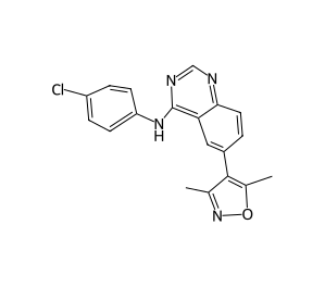 Cc1noc(C)c1-c1ccc2ncnc(Nc3ccc(Cl)cc3)c2c1